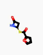 O=C1C[C@H](SC(=O)c2ccco2)N1